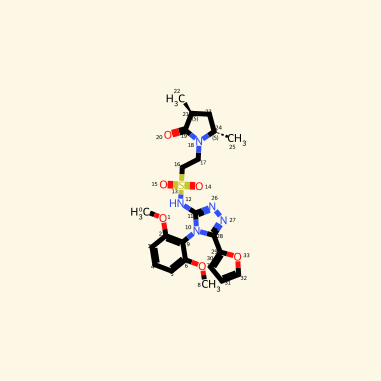 COc1cccc(OC)c1-n1c(NS(=O)(=O)CCN2C(=O)[C@@H](C)C[C@@H]2C)nnc1-c1ccco1